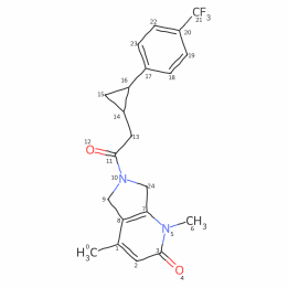 Cc1cc(=O)n(C)c2c1CN(C(=O)CC1CC1c1ccc(C(F)(F)F)cc1)C2